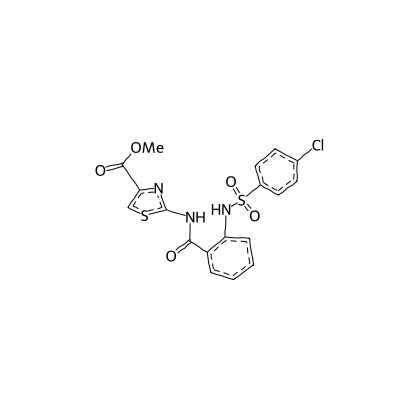 COC(=O)c1csc(NC(=O)c2ccccc2NS(=O)(=O)c2ccc(Cl)cc2)n1